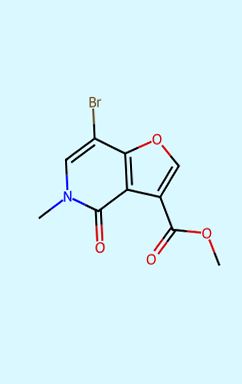 COC(=O)c1coc2c(Br)cn(C)c(=O)c12